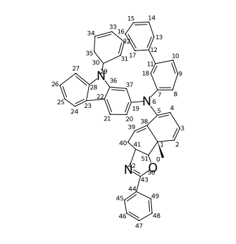 C[C@]12C=CC=C(N(c3cccc(-c4ccccc4)c3)c3ccc4c5ccccc5n(C5C=CC=CC5)c4c3)C1=CCC1N=C(c3ccccc3)OC12